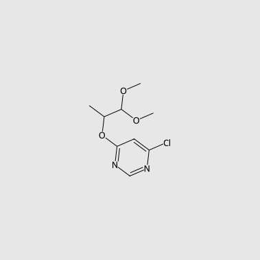 COC(OC)C(C)Oc1cc(Cl)ncn1